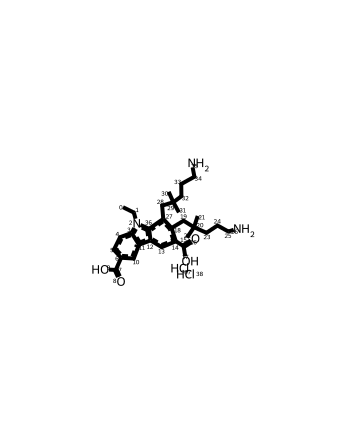 CCn1c2ccc(C(=O)O)cc2c2cc(C(=O)O)c(CC(C)(C)CCCN)c(CC(C)(C)CCCN)c21.Cl.Cl